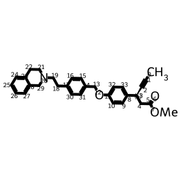 CC#C[C@@H](CC(=O)OC)c1ccc(OCc2ccc(CCN3CCc4ccccc4C3)cc2)cc1